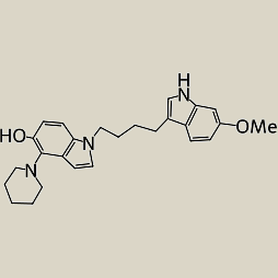 COc1ccc2c(CCCCn3ccc4c(N5CCCCC5)c(O)ccc43)c[nH]c2c1